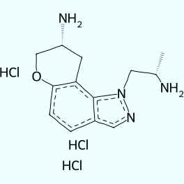 C[C@H](N)Cn1ncc2ccc3c(c21)C[C@@H](N)CO3.Cl.Cl.Cl